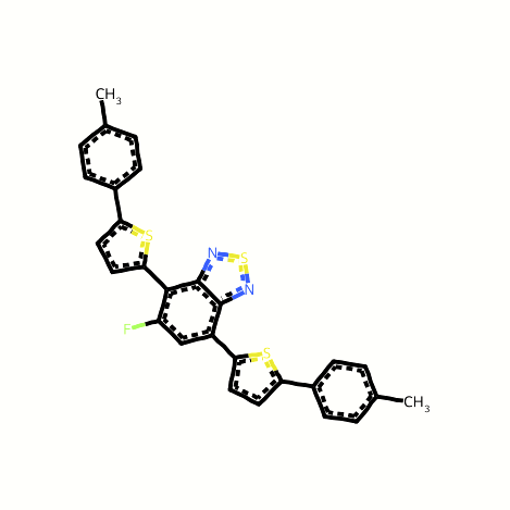 Cc1ccc(-c2ccc(-c3cc(F)c(-c4ccc(-c5ccc(C)cc5)s4)c4nsnc34)s2)cc1